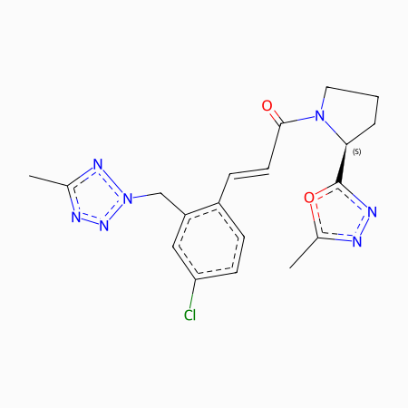 Cc1nnn(Cc2cc(Cl)ccc2C=CC(=O)N2CCC[C@H]2c2nnc(C)o2)n1